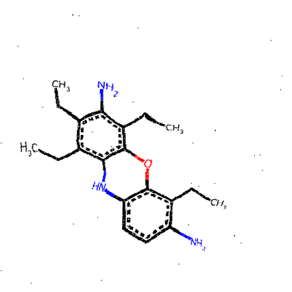 CCc1c(N)c(CC)c2c(c1CC)Nc1ccc(N)c(CC)c1O2